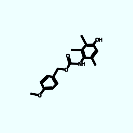 COc1ccc(COC(=O)Nc2c(C)cc(O)c(C)c2C)cc1